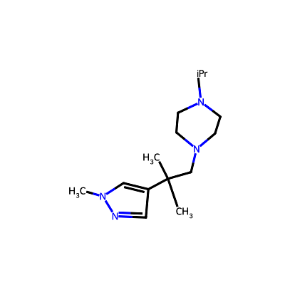 CC(C)N1CCN(CC(C)(C)c2cnn(C)c2)CC1